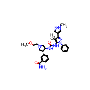 COCCN1C[C@@H](NC(=O)Nc2c(C)c(-c3cnn(C)c3)nn2-c2ccccc2)[C@H](c2cccc(C(N)=O)c2)C1